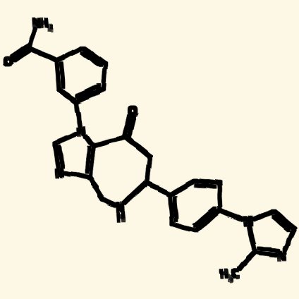 Cc1nccn1-c1ccc(C2CC(=O)c3c(ncn3-c3cccc(C(N)=O)c3)CN2)cc1